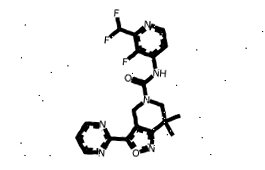 CC1(C)CN(C(=O)Nc2ccnc(C(F)F)c2F)Cc2c1noc2-c1ncccn1